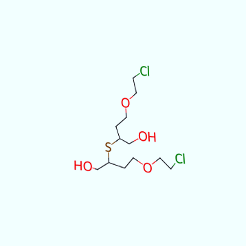 OCC(CCOCCCl)SC(CO)CCOCCCl